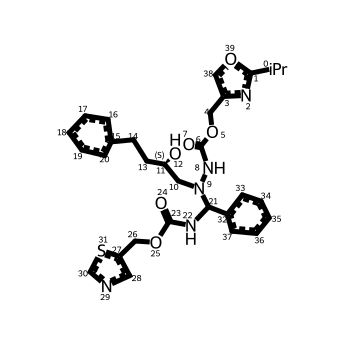 CC(C)c1nc(COC(=O)NN(C[C@@H](O)CCc2ccccc2)C(NC(=O)OCc2cncs2)c2ccccc2)co1